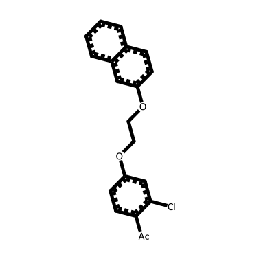 CC(=O)c1ccc(OCCOc2ccc3ccccc3c2)cc1Cl